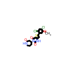 COc1cc(-c2cc3[nH]c(=O)n([C@@H]4CCCNC(=O)C4)c(=O)c3s2)c(Cl)cc1Cl